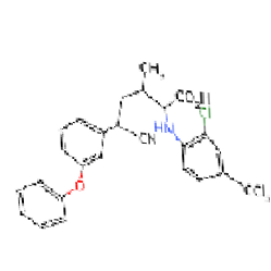 CC(CC(C#N)c1cccc(Oc2ccccc2)c1)C(Nc1ccc(C(Cl)(Cl)Cl)cc1Cl)C(=O)O